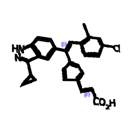 Cc1cc(Cl)ccc1/C=C(\c1ccc(/C=C/C(=O)O)cc1)c1ccc2[nH]nc(C3CC3)c2c1